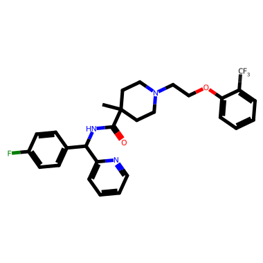 CC1(C(=O)NC(c2ccc(F)cc2)c2ccccn2)CCN(CCOc2ccccc2C(F)(F)F)CC1